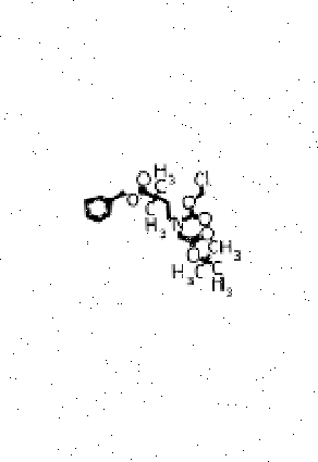 CC(C)(C)OC(=O)CN(CCC(C)(C)C(=O)OCc1ccccc1)C(=O)OCCl